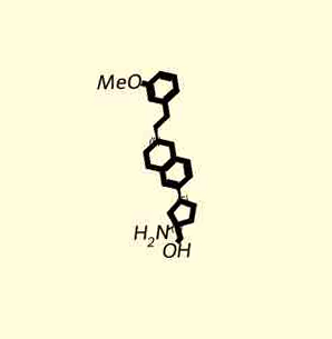 COc1cccc(CC[C@@H]2CCc3cc([C@H]4CC[C@@](N)(CO)C4)ccc3C2)c1